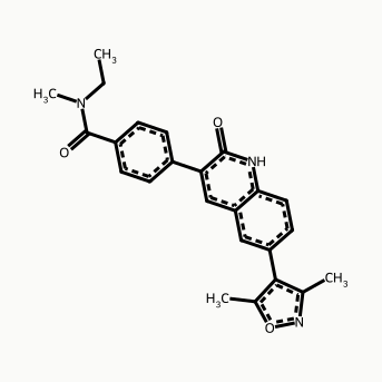 CCN(C)C(=O)c1ccc(-c2cc3cc(-c4c(C)noc4C)ccc3[nH]c2=O)cc1